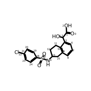 O=C(O)C(O)c1cccc2c1CCC(NS(=O)(=O)c1ccc(Cl)cc1)C2